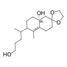 CC1=C2CCC3(C[C@]2(O)CCC1C(C)CCCO)OCCO3